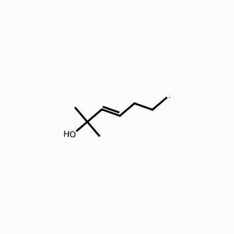 [CH2]CCC=CC(C)(C)O